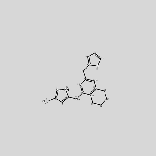 Cc1cc(Nc2nc(Cc3cccs3)nc3c2CCCC3)[nH]n1